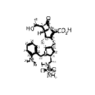 C[C@@H](O)[C@H]1C(=O)N2C(C(=O)O)=C(S[C@H]3C[C@@H](CNS(N)(=O)=O)N(Cc4ccccc4N(C)C)C3)[C@H](C)[C@H]12